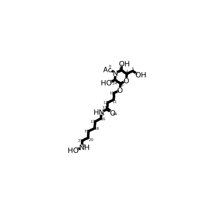 CC(=O)N1C(O)C(CO)OC(OCCCC(=O)NCCCCCCNO)C1O